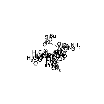 CCCCSC1CC(=O)N(CCCCCC(=O)N[C@H](C(=O)N[C@@H](CCCNC(N)=O)C(=O)Nc2ccc(COC(=O)N(C)[C@H](C(=O)N[C@H](C(=O)N(C)C([C@@H](C)CC)[C@@H](CC(=O)N3CCC[C@H]3[C@H](OC)[C@@H](C)C(=O)N[C@H](C)C(=O)c3ccccc3)OC)C(C)C)C(C)C)cc2)C(C)C)C1=O